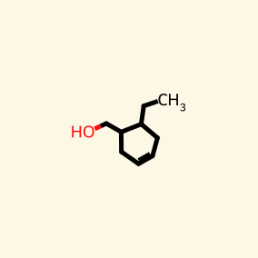 CCC1CC=CCC1CO